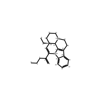 C=C(CCC)C1=C[C@]2(CC)CCCN3CCc4c(n1c1ccccc41)C32